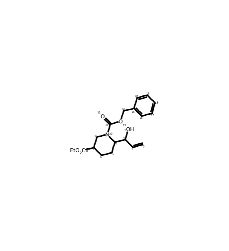 C=CC(O)C1CCC(C(=O)OCC)CN1C(=O)OCc1ccccc1